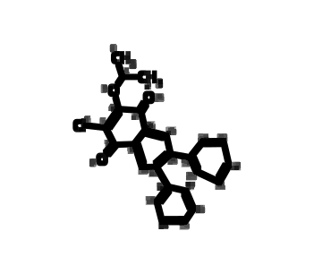 CC(C)OC1=C(Cl)C(=O)c2cc(-c3ccccc3)c(-c3ccccc3)cc2C1=O